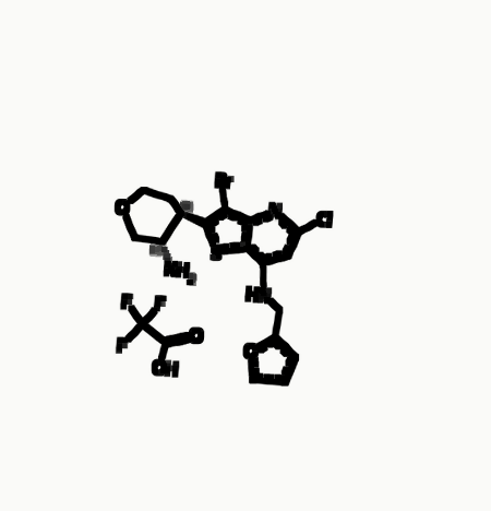 N[C@@H]1COCC[C@H]1c1sc2c(NCc3ccco3)cc(Cl)nc2c1Br.O=C(O)C(F)(F)F